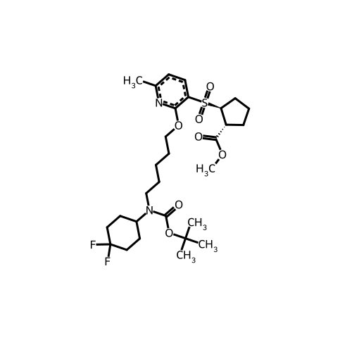 COC(=O)[C@H]1CCC[C@@H]1S(=O)(=O)c1ccc(C)nc1OCCCCCN(C(=O)OC(C)(C)C)C1CCC(F)(F)CC1